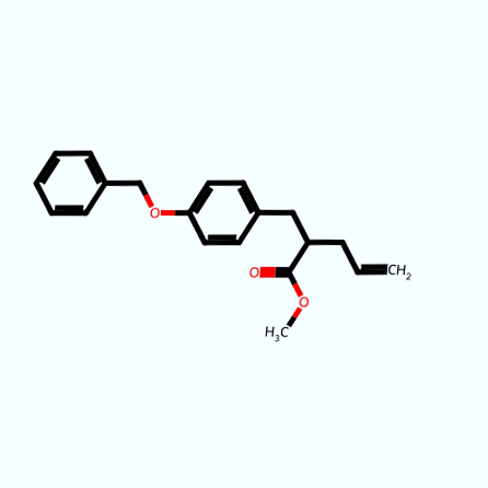 C=CCC(Cc1ccc(OCc2ccccc2)cc1)C(=O)OC